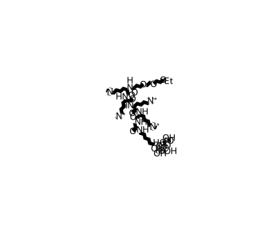 CCOCCOCCOCCC(=O)NC(CCCC[N+](C)(C)C)C(=O)NC(CCCC[N+](C)(C)C)C(=O)NC(CCCC[N+](C)(C)C)C(=O)NC(CCCC[N+](C)(C)C)C(=O)NCC(=O)NCCCCCCOP(=O)(O)OP(=O)(O)OP(=O)(O)O